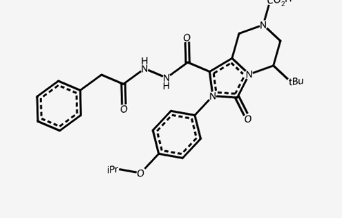 CC(C)Oc1ccc(-n2c(C(=O)NNC(=O)Cc3ccccc3)c3n(c2=O)C(C(C)(C)C)CN(C(=O)O)C3)cc1